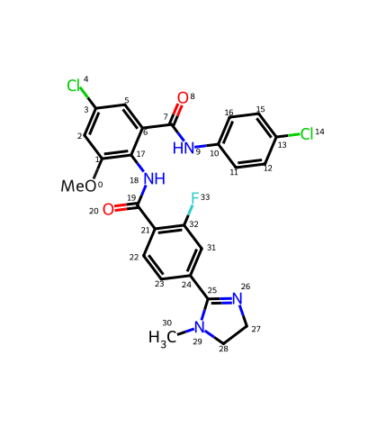 COc1cc(Cl)cc(C(=O)Nc2ccc(Cl)cc2)c1NC(=O)c1ccc(C2=NCCN2C)cc1F